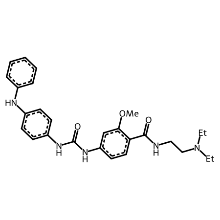 CCN(CC)CCNC(=O)c1ccc(NC(=O)Nc2ccc(Nc3ccccc3)cc2)cc1OC